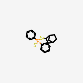 S=P(SC1CC2CCC1C2)(c1ccccc1)c1ccccc1